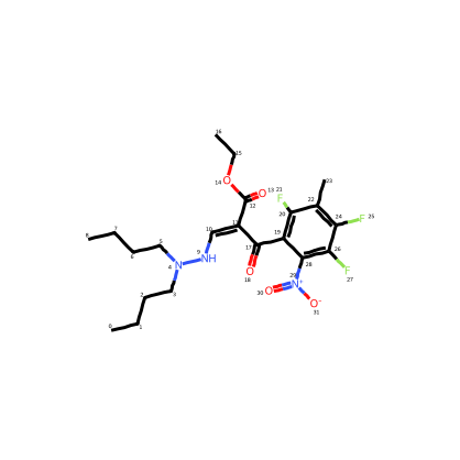 CCCCN(CCCC)N/C=C(/C(=O)OCC)C(=O)c1c(F)c(C)c(F)c(F)c1[N+](=O)[O-]